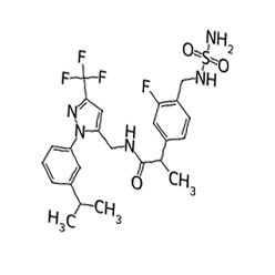 CC(C)c1cccc(-n2nc(C(F)(F)F)cc2CNC(=O)C(C)c2ccc(CNS(N)(=O)=O)c(F)c2)c1